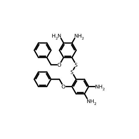 Nc1cc(OCc2ccccc2)c(SSc2cc(N)c(N)cc2OCc2ccccc2)cc1N